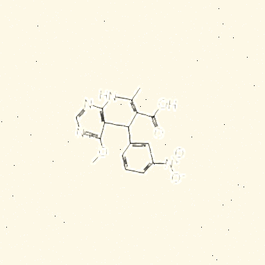 COc1ncnc2c1C(c1cccc([N+](=O)[O-])c1)C(C(=O)O)=C(C)N2